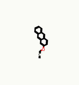 C=C=COc1ccc2cc3ccccc3cc2c1